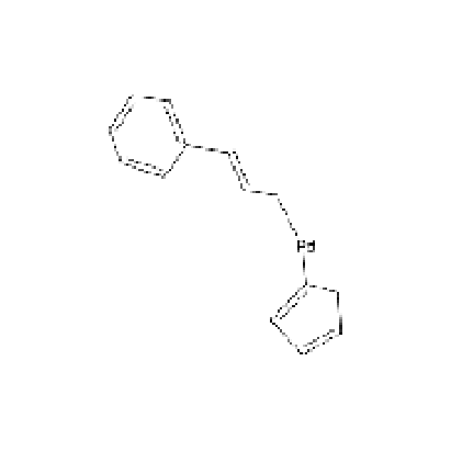 C1=CC[C]([Pd][CH2]C=Cc2ccccc2)=C1